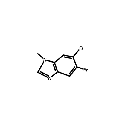 Cn1cnc2cc(Br)c(Cl)cc21